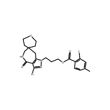 CCc1nn(CCCOC(=O)c2ccc(C)cc2F)c2c1C(=O)NCC1(CCOCC1)C2